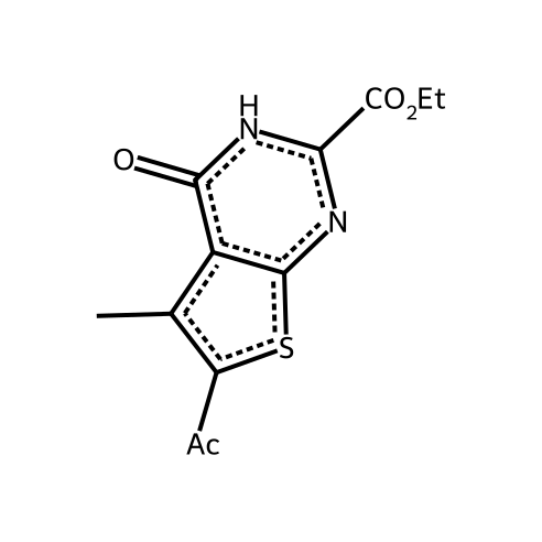 CCOC(=O)c1nc2sc(C(C)=O)c(C)c2c(=O)[nH]1